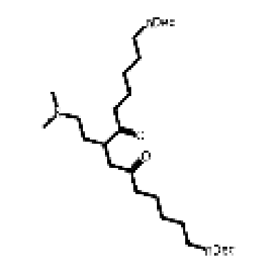 CCCCCCCCCCCCCCCC(=O)CC(CCN(C)C)C(=O)CCCCCCCCCCCCCCC